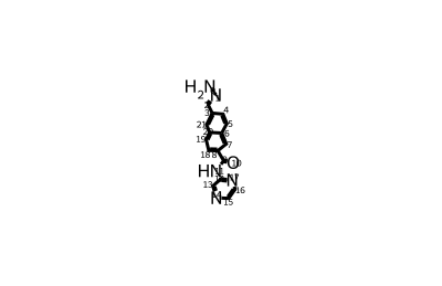 NN=Cc1ccc2cc(C(=O)Nc3cnccn3)ccc2c1